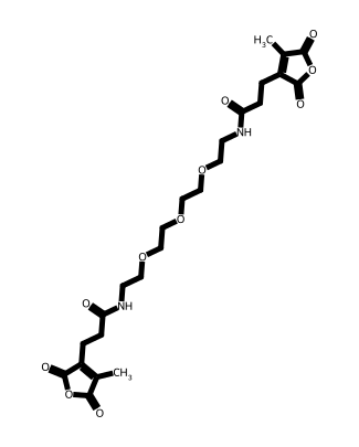 CC1=C(CCC(=O)NCCOCCOCCOCCNC(=O)CCC2=C(C)C(=O)OC2=O)C(=O)OC1=O